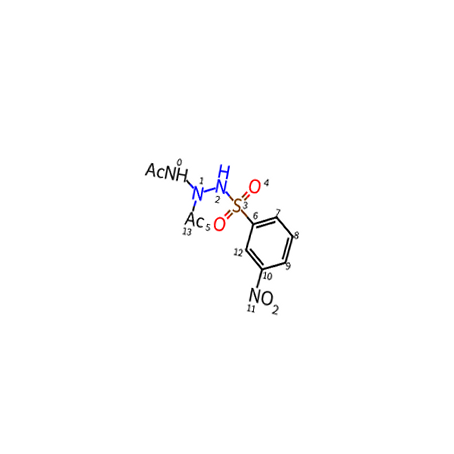 CC(=O)NN(NS(=O)(=O)c1cccc([N+](=O)[O-])c1)C(C)=O